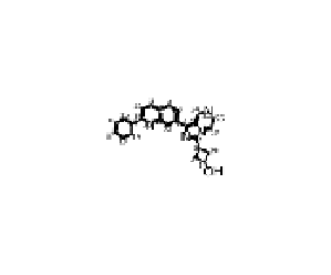 OC1CC(c2nc(-c3ccc4ccc(-c5ccccc5)nc4c3)c3cnccn23)C1